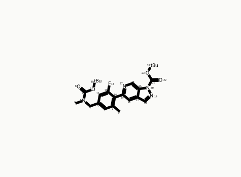 Cc1cc(CN(C)C(=O)OC(C)(C)C)cc(F)c1-c1cc2cnn(C(=O)OC(C)(C)C)c2cn1